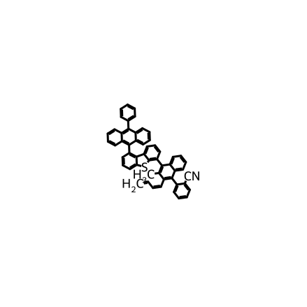 C=C/C=C\c1c(C)c(-c2cccc3c2sc2cccc(-c4c5ccccc5c(-c5ccccc5)c5ccccc45)c23)c2ccccc2c1-c1ccccc1C#N